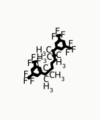 CC(c1cc(C(F)(F)F)cc(C(F)(F)F)c1)C(C)(C)CCCC(C)(C)C(C)c1cc(C(F)(F)F)cc(C(F)(F)F)c1